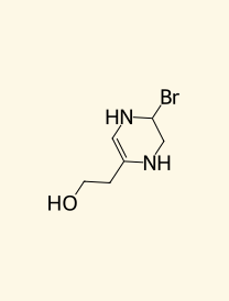 OCCC1=CNC(Br)CN1